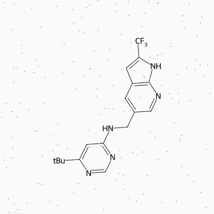 CC(C)(C)c1cc(NCc2cnc3[nH]c(C(F)(F)F)cc3c2)ncn1